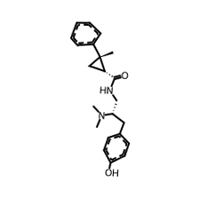 CN(C)[C@H](CNC(=O)[C@@H]1C[C@]1(C)c1ccccc1)Cc1ccc(O)cc1